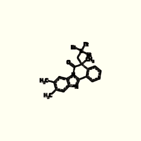 CC[Si](CC)(CC)CC1(C)C(=O)n2c(nc3cc(C)c(C)cc32)-c2ccccc21